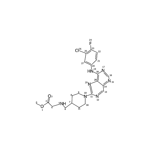 COC(=O)CNCC1CCN(c2ncc3ncnc(Nc4ccc(F)c(Cl)c4)c3n2)CC1